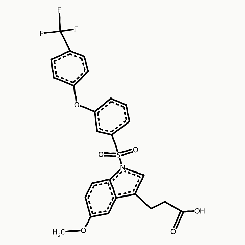 COc1ccc2c(c1)c(CCC(=O)O)cn2S(=O)(=O)c1cccc(Oc2ccc(C(F)(F)F)cc2)c1